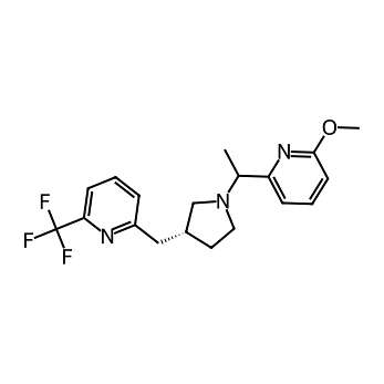 COc1cccc(C(C)N2CC[C@H](Cc3cccc(C(F)(F)F)n3)C2)n1